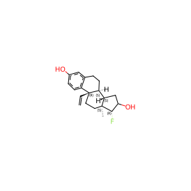 C=C[C@]12CC[C@]3(C)[C@@H](F)C(O)C[C@H]3[C@@H]1CCc1cc(O)ccc12